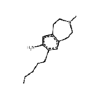 CCCCCc1cc2c(cc1N)CCN(C)CC2